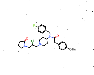 CC(C)COc1ccc(CC(=O)N(Cc2ccc(F)cc2)C2CCN(CC(Cl)CN3CCCC3=O)CC2)cc1